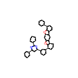 c1ccc(-c2cc(-c3cccc(-c4cccc5c4oc4cc6oc7c(-c8ccccc8)cccc7c6cc45)c3)nc(-c3ccccc3)n2)cc1